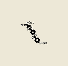 CCCCCCCCC(CCC)c1cnc(-c2ccc(OC(=O)C3CCC(CCCCC)CC3)cc2)nc1